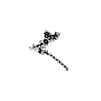 CC[C@@]1(O)C(=O)OCc2c1cc1n(c2=O)Cc2c-1nc1cc(F)c(C)c3c1c2[C@@H](N(C(=O)O)c1ccc(NC(=O)[C@H](CCCNC(N)=O)NC(=O)[C@@H](NC(=O)CCOCCOCCOCCOCCOCCOCCN=[N+]=[N-])C(C)C)cc1)CC3